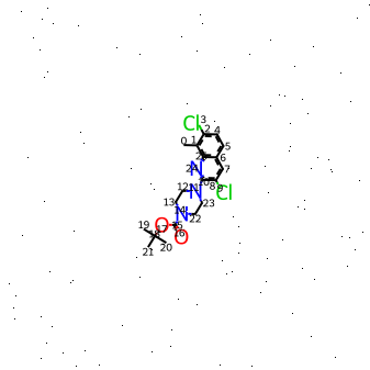 Cc1c(Cl)ccc2cc(Cl)c(N3CCN(C(=O)OC(C)(C)C)CC3)nc12